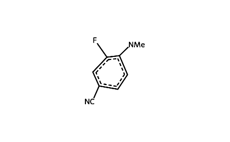 CNc1ccc(C#N)cc1F